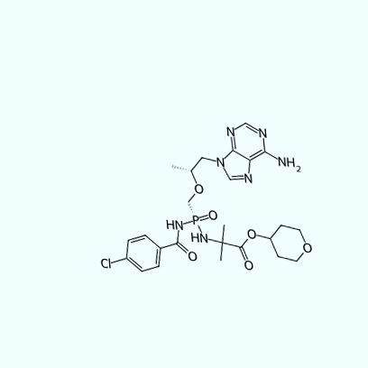 C[C@H](Cn1cnc2c(N)ncnc21)OC[P@@](=O)(NC(=O)c1ccc(Cl)cc1)NC(C)(C)C(=O)OC1CCOCC1